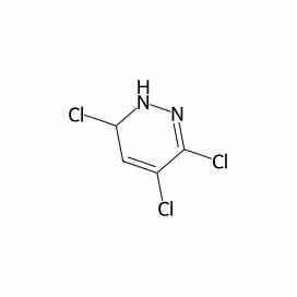 ClC1=CC(Cl)NN=C1Cl